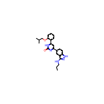 CCCNc1n[nH]c2ccc(-c3cc(-c4ccccc4OCC(C)C)[nH]c(=O)n3)cc12